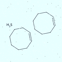 C1=C\CCCCCC/1.C1=C\CCCCCC/1.S